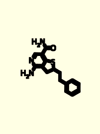 NC(=O)c1cnc(N)c2c1SC(CCc1ccccc1)C2